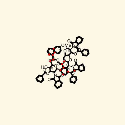 CO[C@H]1OC(COC(=O)c2ccccc2)[C@H](OC2OC(COC(=O)c3ccccc3)C(O[C@H]3OC(COC(=O)c4ccccc4)[C@H](O)C(OC(=O)c4ccccc4)[C@H]3N3C(=O)c4ccccc4C3=O)[C@H](OC(=O)c3ccccc3)[C@@H]2N2C(=O)c3ccccc3C2=O)C(OC(=O)c2ccccc2)[C@H]1N1C(=O)c2ccccc2C1=O